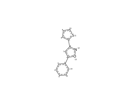 c1ccc(-c2cc(-c3cccs3)no2)cc1